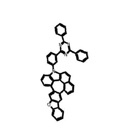 c1ccc(-c2nc(-c3ccccc3)nc(-c3cccc(-n4c5cccc6c5c5c7c(cccc7ccc54)-c4cc5c(cc4-6)oc4ccccc45)c3)n2)cc1